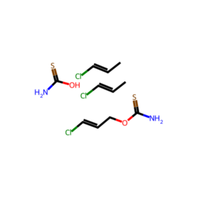 CC=CCl.CC=CCl.NC(=S)OCC=CCl.NC(O)=S